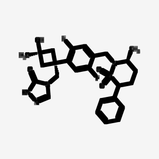 C[C@H]1CCC(c2ccccc2)S(=O)(=O)N1Cc1cc(F)c([C@]2(Cn3cn[nH]c3=O)C[C@](C)(O)C2)cc1F